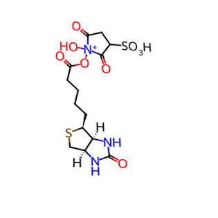 O=C1N[C@H]2[C@H](CS[C@H]2CCCCC(=O)O[N+]2(O)C(=O)CC(S(=O)(=O)O)C2=O)N1